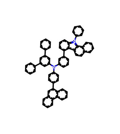 c1ccc(-c2cc(-c3ccccc3)cc(N(c3ccc(-c4cc5ccccc5c5ccccc45)cc3)c3cccc(-c4cccc5c4c4ccc6ccccc6c4n5-c4ccccc4)c3)c2)cc1